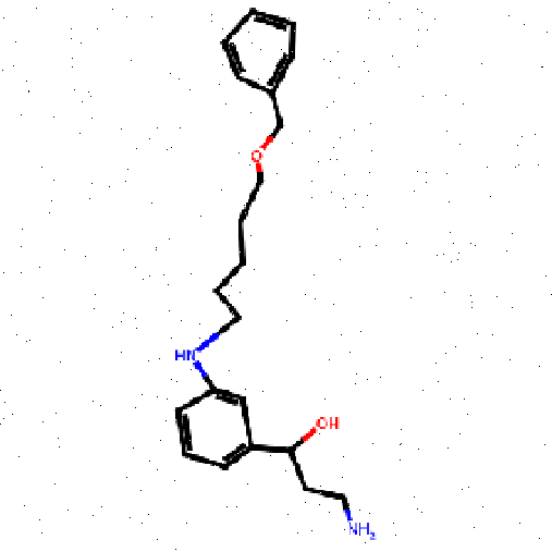 NCCC(O)c1cccc(NCCCCCOCc2ccccc2)c1